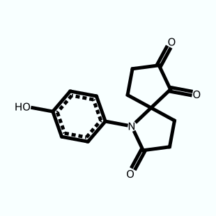 O=C1CCC2(CCC(=O)N2c2ccc(O)cc2)C1=O